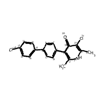 Cc1[nH]c(C)c(-c2ccc(-c3ccc(Cl)cc3)cc2)c(=O)c1Cl